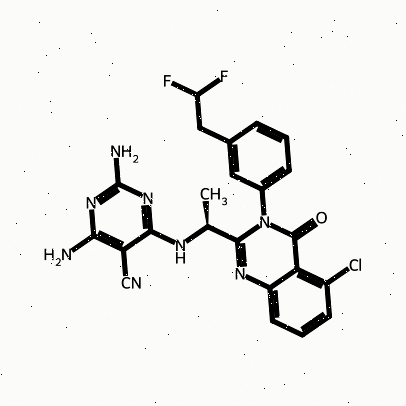 C[C@H](Nc1nc(N)nc(N)c1C#N)c1nc2cccc(Cl)c2c(=O)n1-c1cccc(CC(F)F)c1